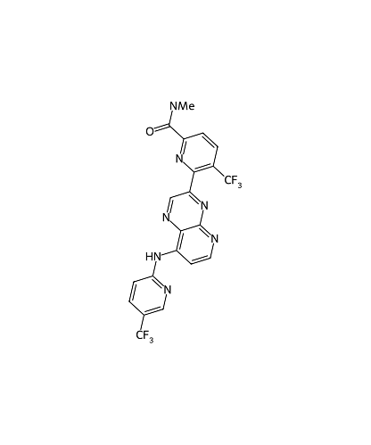 CNC(=O)c1ccc(C(F)(F)F)c(-c2cnc3c(Nc4ccc(C(F)(F)F)cn4)ccnc3n2)n1